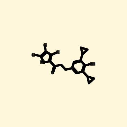 O=C(CCc1cc(C2CC2)c(O)c(C2CC2)c1)c1[nH]c(Cl)c(Cl)c1Cl